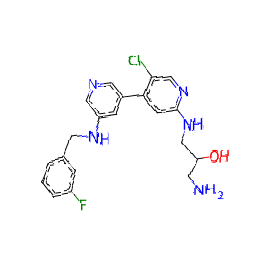 NCC(O)CNc1cc(-c2cncc(NCc3cccc(F)c3)c2)c(Cl)cn1